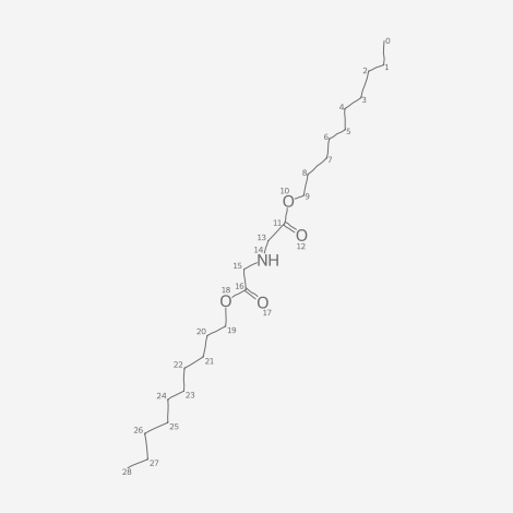 CCCCCCCCCCOC(=O)CNCC(=O)OCCCCCCCCCC